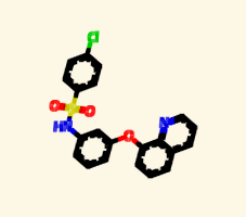 O=S(=O)(Nc1cccc(Oc2cccc3cccnc23)c1)c1ccc(Cl)cc1